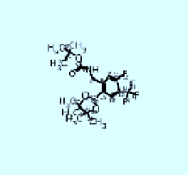 CC(C)(C)OC(=O)NCc1cc(F)c(C(F)(F)F)cc1B1OC(C)(C)C(C)(C)O1